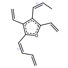 C=C/C=C\c1oc(C=C)c(/C=C\C)c1C=C